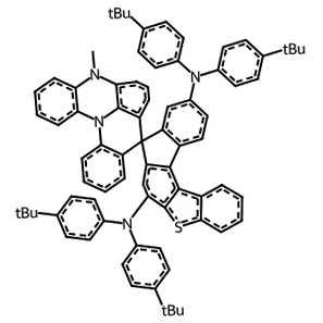 CN1c2ccccc2N2c3ccccc3C3(c4cc(N(c5ccc(C(C)(C)C)cc5)c5ccc(C(C)(C)C)cc5)ccc4-c4c3cc(N(c3ccc(C(C)(C)C)cc3)c3ccc(C(C)(C)C)cc3)c3sc5ccccc5c43)c3cccc1c32